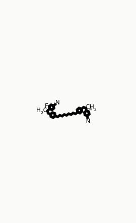 C=C(Cc1ccc(CCCCCCCCCc2ccc(CC(=C)c3ccc(C#N)cc3F)cc2)cc1)c1ccc(C#N)cc1F